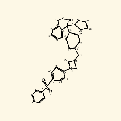 O=S(=O)(c1ccccc1)c1ccc(N2CC(CN3CCC(C4(C5CCCC5)NCCc5ccccc54)CC3)C2)cc1